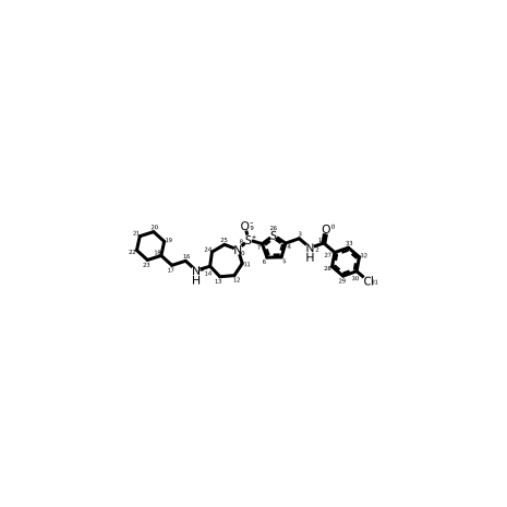 O=C(NCc1ccc([S+]([O-])N2CCCC(NCCC3CCCCC3)CC2)s1)c1ccc(Cl)cc1